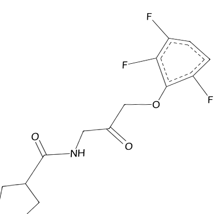 O=C(CNC(=O)C1CCCC1)COc1c(F)ccc(F)c1F